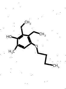 CCCCOc1cc(C)c(O)c(CC)c1CC